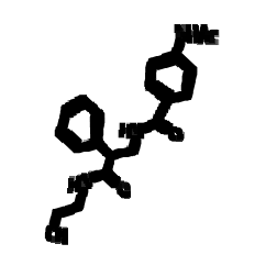 CC(=O)Nc1ccc(C(=O)NCC(C(=O)NCCC#N)c2ccccc2)cc1